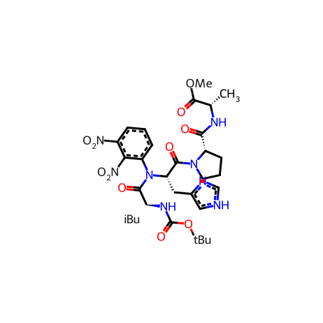 CC[C@H](C)[C@H](NC(=O)OC(C)(C)C)C(=O)N(c1cccc([N+](=O)[O-])c1[N+](=O)[O-])[C@@H](Cc1c[nH]cn1)C(=O)N1CCC[C@H]1C(=O)N[C@@H](C)C(=O)OC